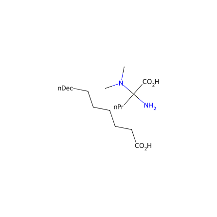 CCCC(N)(C(=O)O)N(C)C.CCCCCCCCCCCCCCCC(=O)O